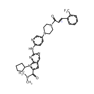 CN(C)C(=O)c1cc2cnc(Nc3ccc(N4CCN(C(=O)/C=C/c5ccccc5C(F)(F)F)CC4)cn3)nc2n1C1CCCC1